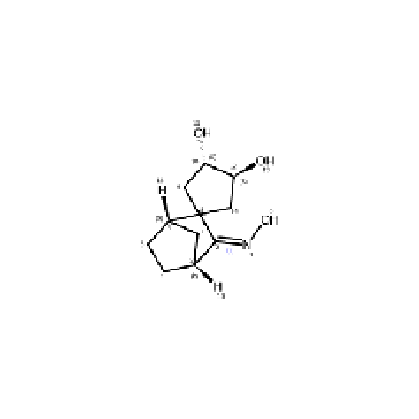 O/N=C1/[C@@H]2CC[C@@H](C2)C12C[C@H](O)[C@@H](O)C2